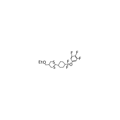 CCOCC1CSC(C2CCC(C(F)(F)Oc3cc(F)c(F)c(F)c3)CC2)SC1